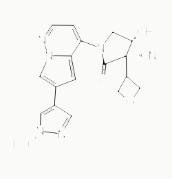 C[C@@H]1CN(c2ccnn3cc(-c4cnn(C)c4)cc23)C(=O)[C@]1(C#N)C1COC1